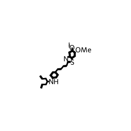 C=CCC(CC=C)Nc1ccc(/C=C/C=C/c2nc3cc(OI)c(OC)cc3s2)cc1